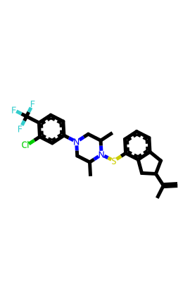 C=C(C)C1Cc2cccc(SN3C(C)CN(c4ccc(C(F)(F)F)c(Cl)c4)CC3C)c2C1